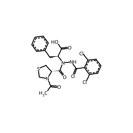 CC(=O)N1CSC[C@@H]1C(=O)N(NC(=O)c1c(Cl)cccc1Cl)[C@@H](Cc1ccccc1)C(=O)O